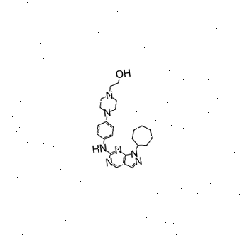 OCCN1CCN(c2ccc(Nc3ncc4cnn(C5CCCCCC5)c4n3)cc2)CC1